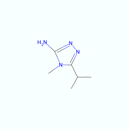 CC(C)c1nnc(N)n1C